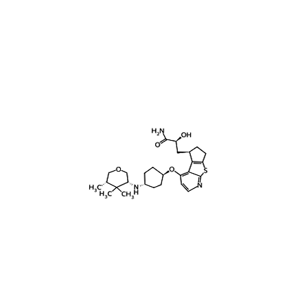 C[C@@H]1COC[C@H](N[C@H]2CC[C@H](Oc3ccnc4sc5c(c34)[C@@H](C[C@H](O)C(N)=O)CC5)CC2)C1(C)C